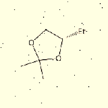 C[CH][C@H]1COC(C)(C)O1